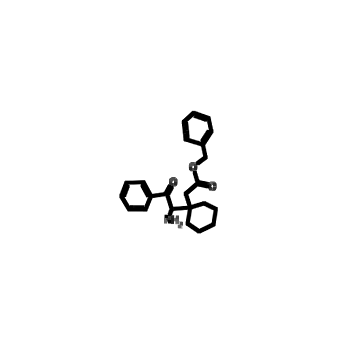 NC(C(=O)c1ccccc1)C1(CC(=O)OCc2ccccc2)CCCCC1